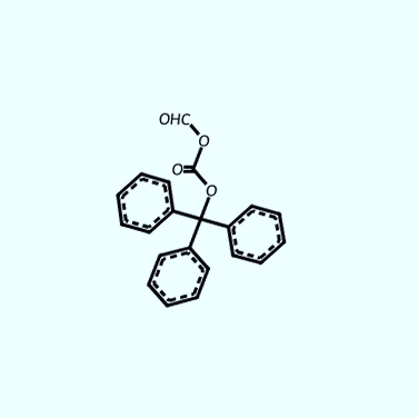 O=COC(=O)OC(c1ccccc1)(c1ccccc1)c1ccccc1